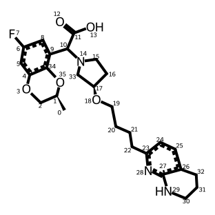 C[C@H]1COc2cc(F)cc(C(C(=O)O)N3CC[C@@H](OCCCCc4ccc5c(n4)NCCC5)C3)c2O1